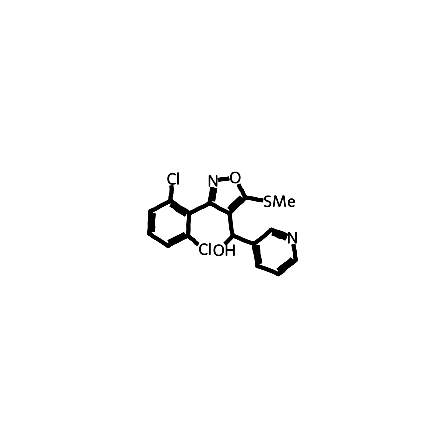 CSc1onc(-c2c(Cl)cccc2Cl)c1C(O)c1cccnc1